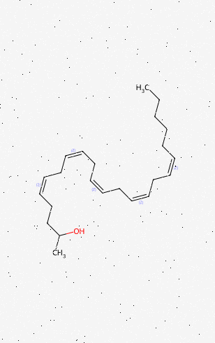 CCCCC/C=C\C/C=C\C/C=C\C/C=C\C/C=C\CCC(C)O